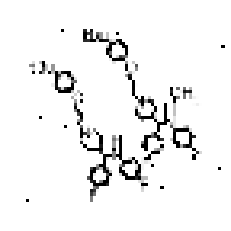 CC(C)(C)c1ccc(OCCCN2CCC(C(Nc3ccc(F)cc3)c3ccc(F)cc3)CC2)cc1.CC(C)(C)c1ccc(OCCCN2CCC(C(Nc3ccc(F)cc3)c3ccc(F)cc3)CC2)cc1.O